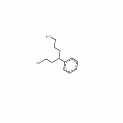 OCCCC(CCO)c1ccccc1